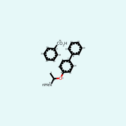 CCCCCCC(C)Oc1ccc(-c2ccccc2)cc1.O=C(O)c1ccccc1